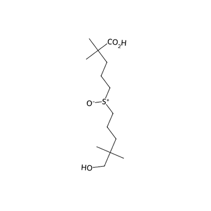 CC(C)(CO)CCC[S+]([O-])CCCC(C)(C)C(=O)O